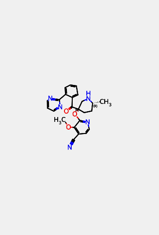 COc1c(C#N)ccnc1O[C@]1(C(=O)c2ccccc2-c2ncccn2)CC[C@@H](C)NC1